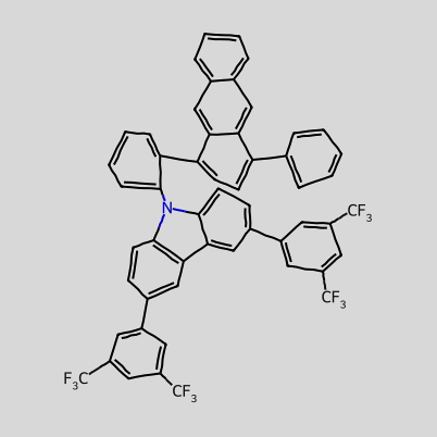 FC(F)(F)c1cc(-c2ccc3c(c2)c2cc(-c4cc(C(F)(F)F)cc(C(F)(F)F)c4)ccc2n3-c2ccccc2-c2ccc(-c3ccccc3)c3cc4ccccc4cc23)cc(C(F)(F)F)c1